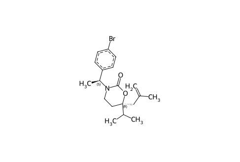 C=C(C)C[C@]1(C(C)C)CCN([C@@H](C)c2ccc(Br)cc2)C(=O)O1